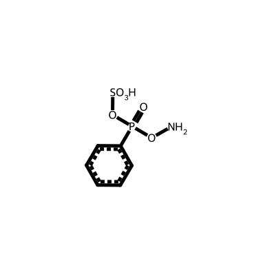 NOP(=O)(OS(=O)(=O)O)c1ccccc1